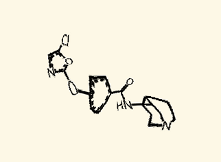 O=C(NC1CN2CCC1CC2)c1ccc(Oc2ncc(Cl)o2)cc1